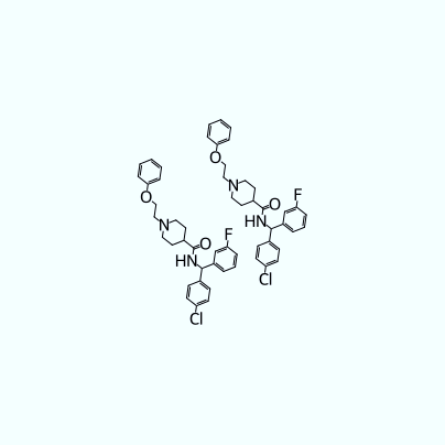 O=C(NC(c1ccc(Cl)cc1)c1cccc(F)c1)C1CCN(CCOc2ccccc2)CC1.O=C(NC(c1ccc(Cl)cc1)c1cccc(F)c1)C1CCN(CCOc2ccccc2)CC1